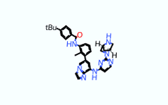 Cc1c(NC(=O)c2ccc(C(C)(C)C)cc2)cccc1-c1cc(Nc2ccnc(N3C[C@@H]4C[C@H]3CN4)n2)c2nccn2c1